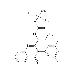 CCC(NC(=O)OC(C)(C)C)c1nc2ccccc2c(=O)n1-c1cc(F)cc(F)c1